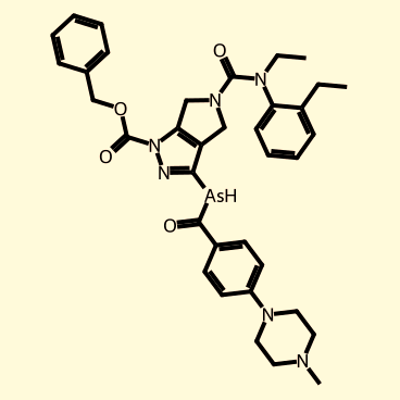 CCc1ccccc1N(CC)C(=O)N1Cc2c([AsH]C(=O)c3ccc(N4CCN(C)CC4)cc3)nn(C(=O)OCc3ccccc3)c2C1